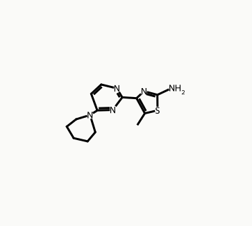 Cc1sc(N)nc1-c1nccc(N2CCCCC2)n1